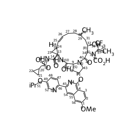 COc1ccc2c(O[C@@H]3C[C@H]4C(=O)N[C@]5(C(=O)NS(=O)(=O)C6CC6)C[C@H]5C=CCC[C@@H](C)C[C@@H](C)[C@H](N(C(=O)O)[C@H](C)C(F)(F)F)C(=O)N4C3)nc(-c3ccc(OC(C)C)cn3)cc2c1